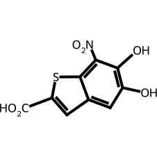 O=C(O)c1cc2cc(O)c(O)c([N+](=O)[O-])c2s1